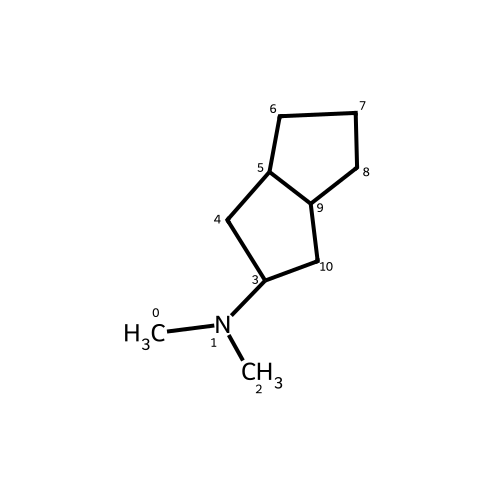 CN(C)C1CC2CCCC2C1